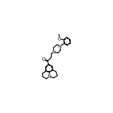 COc1ccccc1N1CCN(CCC(=O)c2cc3c4c(c2)CCCN4CCC3)CC1